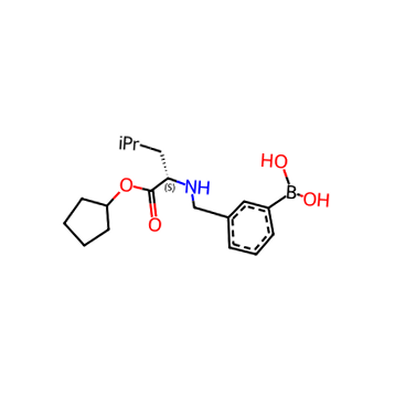 CC(C)C[C@H](NCc1cccc(B(O)O)c1)C(=O)OC1CCCC1